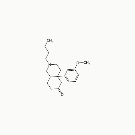 CCCCN1CCC2(c3cccc(OC)c3)CC(=O)CCC2C1